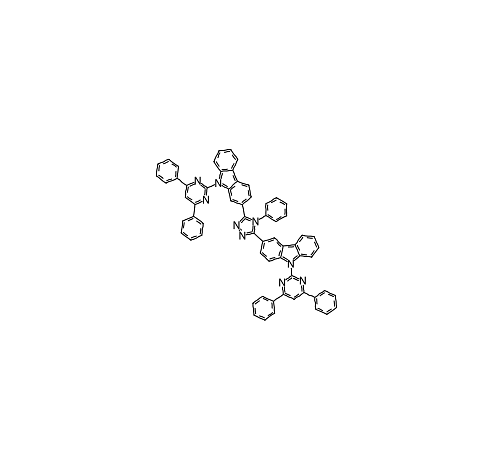 c1ccc(-c2cc(-c3ccccc3)nc(-n3c4ccccc4c4cc(-c5nnc(-c6ccc7c8ccccc8n(-c8nc(-c9ccccc9)cc(-c9ccccc9)n8)c7c6)n5-c5ccccc5)ccc43)n2)cc1